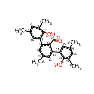 Cc1cc(C)c(O)c(-c2cc(C)cc(-c3cc(C)cc(C)c3O)c2C=O)c1